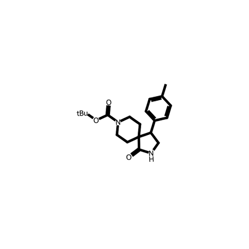 Cc1ccc(C2CNC(=O)C23CCN(C(=O)OC(C)(C)C)CC3)cc1